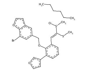 CCCCCC.CS/C(=C\c1cccc(-c2ccoc2)c1OCc1cc(Br)c2occc2c1)[S+](C)[O-]